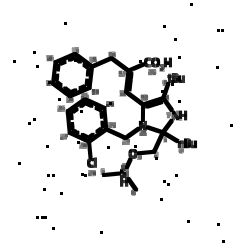 CCCCC1(CO[SiH](C)C)NC(C(C)(C)C)=C(C=C(Cc2ccccc2)C(=O)O)N1Cc1ccccc1Cl